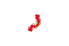 O=C1c2ccc(-c3cccc4c3C(=O)N(c3ccccc3-c3ccccc3)C4=O)cc2C(=O)N1c1ccc(Oc2ccc(C(c3ccc(Oc4ccc(N5C(=O)c6cccc(-c7ccc8c(c7)C(=O)N(c7ccccc7-c7ccccc7)C8=O)c6C5=O)cc4)cc3)(C(F)(F)F)C(F)(F)F)cc2)cc1